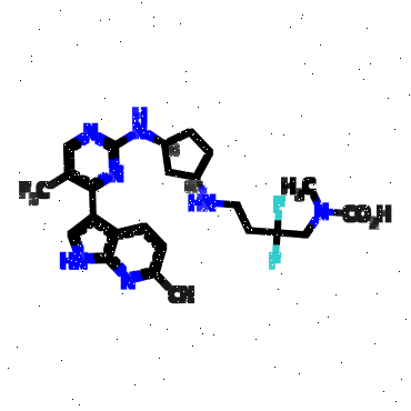 CN(CC(F)(F)CCN[C@H]1CC[C@H](Nc2ncc(C(F)(F)F)c(-c3c[nH]c4nc(C#N)ccc34)n2)C1)C(=O)O